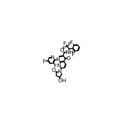 O=C(NC(c1c(F)cccc1F)C(F)(F)F)c1cn(-c2ncc(F)cc2F)c2nc(N3C[C@@H](O)CC3=O)ccc2c1=O